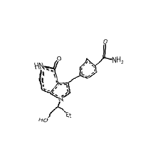 CCC(CO)n1cc(-c2ccc(C(N)=O)cc2)c2c(=O)[nH]ccc21